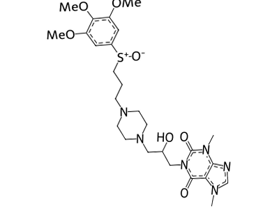 COc1cc([S+]([O-])CCCN2CCN(CC(O)Cn3c(=O)c4c(ncn4C)n(C)c3=O)CC2)cc(OC)c1OC